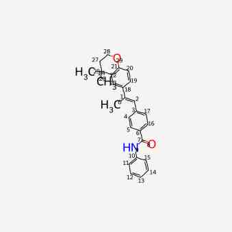 C/C(=C\c1ccc(C(=O)Nc2ccccc2)cc1)c1ccc2c(c1)C(C)(C)CCO2